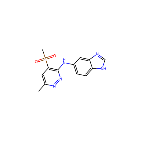 Cc1cc(S(C)(=O)=O)c(Nc2ccc3[nH]cnc3c2)nn1